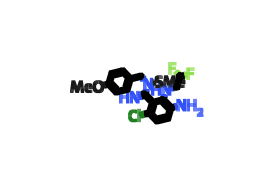 COc1ccc(CN(SC)C(=N)c2c(Cl)ccc(N)c2NCC(F)F)cc1